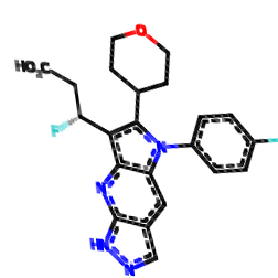 O=C(O)C[C@@H](F)c1c(C2CCOCC2)n(-c2ccc(F)cc2)c2cc3cn[nH]c3nc12